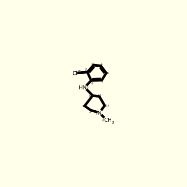 CN1CCC(Nc2ccccc2Cl)CC1